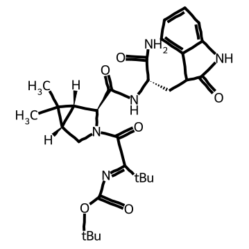 CC(C)(C)OC(=O)N=C(C(=O)N1C[C@H]2[C@@H]([C@H]1C(=O)N[C@@H](CC1C(=O)Nc3ccccc31)C(N)=O)C2(C)C)C(C)(C)C